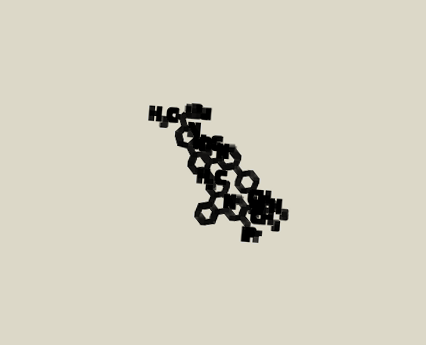 C=CC1C(CCc2ccc3c(oc4nc(C(C)C(C)(C)C)ccc43)c2-c2cc(C3CCCCC3)cc[n+]2C)c2ccccc2-c2cc(CC(C)C)c([Si](C)(C)C)c[n+]21